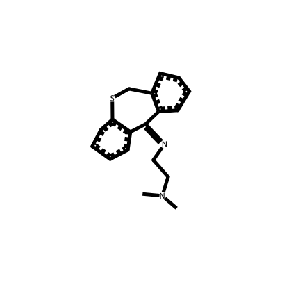 CN(C)CCN=C1c2ccccc2CSc2ccccc21